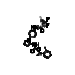 Cc1ccccc1[C@@H](C)OC(=O)Nc1cccn1-c1ccc(NC(=O)[C@@H]2[C@H](C)C2(F)F)cc1